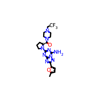 Cc1ccc(-c2nc3nc(N4CCC[C@H]4C(=O)N4CCN(CC(F)(F)F)CC4)nc(N)n3n2)o1